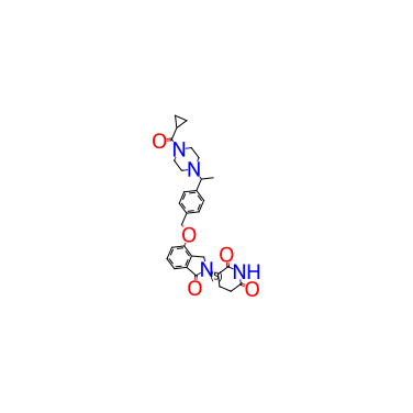 CC(c1ccc(COc2cccc3c2CN([C@H]2CCC(=O)NC2=O)C3=O)cc1)N1CCN(C(=O)C2CC2)CC1